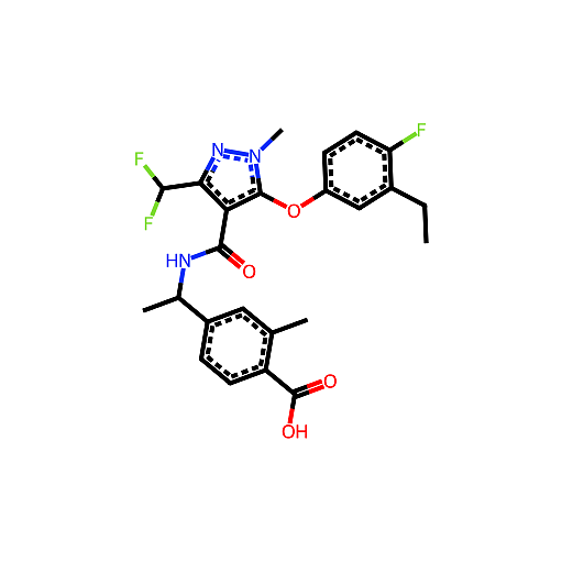 CCc1cc(Oc2c(C(=O)NC(C)c3ccc(C(=O)O)c(C)c3)c(C(F)F)nn2C)ccc1F